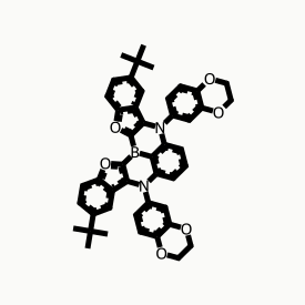 CC(C)(C)c1ccc2oc3c(c2c1)N(c1ccc2c(c1)OCCO2)c1cccc2c1B3c1oc3ccc(C(C)(C)C)cc3c1N2c1ccc2c(c1)OCCO2